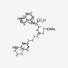 COCCN(CCCCc1ccc2c(n1)NCCC2)CCC(Nc1ncnc2[nH]ncc12)C(=O)O